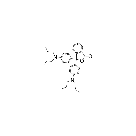 CCCN(CCC)c1ccc(C2(c3ccc(N(CCC)CCC)cc3)OC(=O)c3ccccc32)cc1